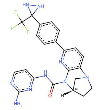 Nc1nccc(NC(=O)N2c3nc(-c4ccc(C5(C(F)(F)F)NN5)cc4)ccc3N3CC[C@H]2C3)n1